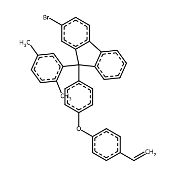 C=Cc1ccc(Oc2ccc(C3(c4cc(C)ccc4C)c4ccccc4-c4ccc(Br)cc43)cc2)cc1